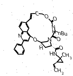 C=C[C@@H]1C[C@@]1(C)NC(=O)[C@@H]1C[C@@H]2CN1C(=O)[C@H](CCCC)NC(=O)OCC/C=C/c1ccc3nc(-c4ccccc4)cc(c3c1)O2